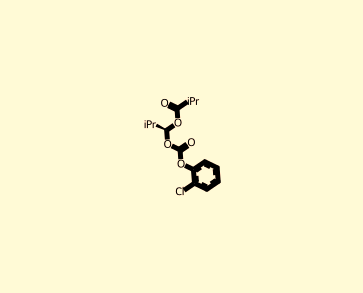 CC(C)C(=O)O[C@@H](OC(=O)Oc1ccccc1Cl)C(C)C